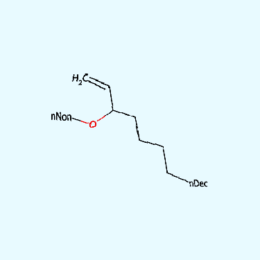 C=CC(CCCCCCCCCCCCCC)OCCCCCCCCC